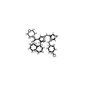 O=C(c1cn(Cc2cncn2Cc2ccc(Cl)cc2)nc1-c1cccc2ccccc12)N1CCOCC1